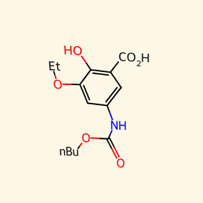 CCCCOC(=O)Nc1cc(OCC)c(O)c(C(=O)O)c1